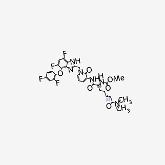 COC(=O)N[C@@H](CC/C=C/C(=O)N(C)C)C(=O)Nc1cccn(Cc2nc3c(Oc4ccc(F)cc4F)c(F)cc(F)c3[nH]2)c1=O